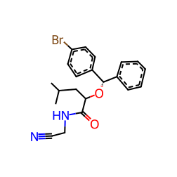 CC(C)CC(O[C@@H](c1ccccc1)c1ccc(Br)cc1)C(=O)NCC#N